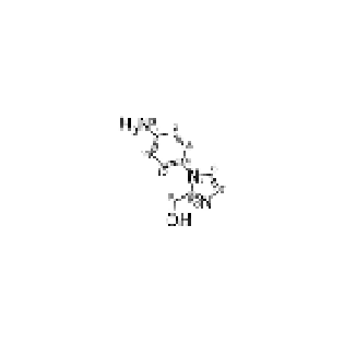 Nc1ccc(-n2ccnc2CO)cc1